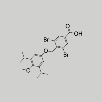 COc1c(C(C)C)cc(OCc2c(Br)cc(C(=O)O)cc2Br)cc1C(C)C